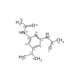 CC(=O)Nc1cc(C(C)C)cc(NC(C)=O)n1